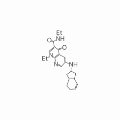 CCNC(=O)c1cn(CC)c2ncc(NC3CC4=C(CCC=C4)C3)cc2c1=O